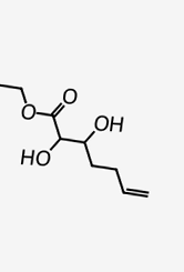 C=CCCC(O)C(O)C(=O)OCC